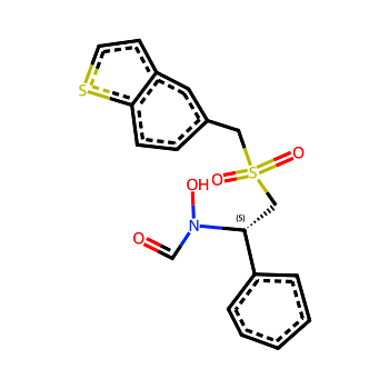 O=CN(O)[C@H](CS(=O)(=O)Cc1ccc2sccc2c1)c1ccccc1